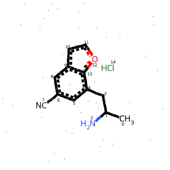 CC(N)Cc1cc(C#N)cc2ccoc12.Cl